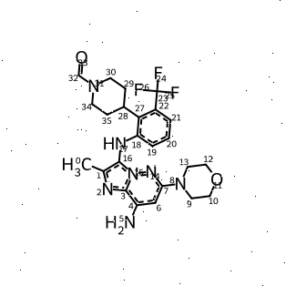 Cc1nc2c(N)cc(N3CCOCC3)nn2c1Nc1cccc(C(F)(F)F)c1C1CCN(C=O)CC1